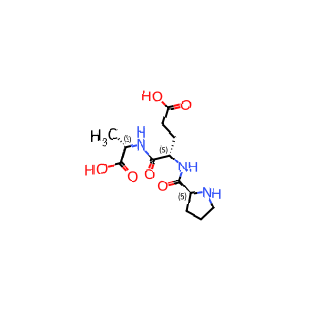 C[C@H](NC(=O)[C@H](CCC(=O)O)NC(=O)[C@@H]1CCCN1)C(=O)O